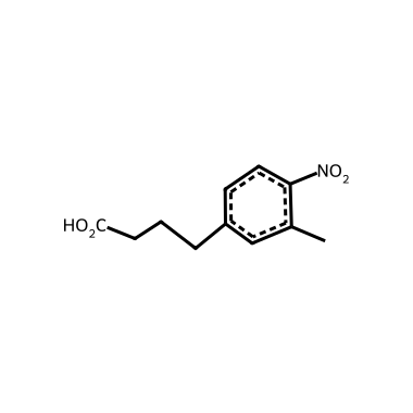 Cc1cc(CCCC(=O)O)ccc1[N+](=O)[O-]